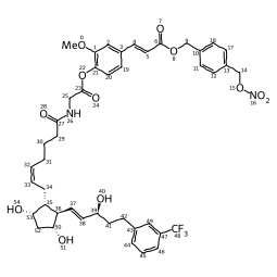 COc1cc(/C=C/C(=O)OCc2ccc(CO[N+](=O)[O-])cc2)ccc1OC(=O)CNC(=O)CCC/C=C\C[C@@H]1[C@@H](/C=C/[C@@H](O)CCc2cccc(C(F)(F)F)c2)[C@H](O)C[C@@H]1O